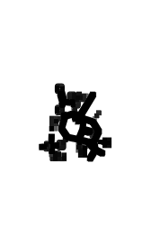 CC(=O)O[C@H]1C(C)=CC23C(=O)[C@@H]([C@H](O[Si](C)(C)C(C)(C)C)[C@H](C)[C@H]4OC(=O)O[C@@]412)[C@H]1[C@@H](C[C@H]3C)C1(C)C